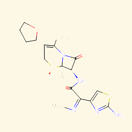 CO/N=C(\C(=O)N[C@@H]1C(=O)N2C(C(=O)O)=C([C@@H]3CCCO3)C[S@+]([O-])[C@H]12)c1csc(N)n1